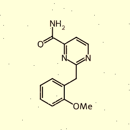 COc1ccccc1Cc1nccc(C(N)=O)n1